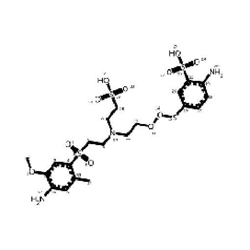 COc1cc(S(=O)(=O)CCN(CCOOSc2ccc(N)c(S(=O)(=O)O)c2)CCS(=O)(=O)O)c(C)cc1N